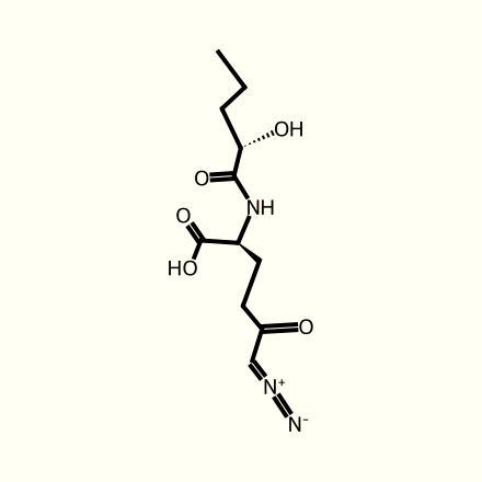 CCC[C@H](O)C(=O)N[C@@H](CCC(=O)C=[N+]=[N-])C(=O)O